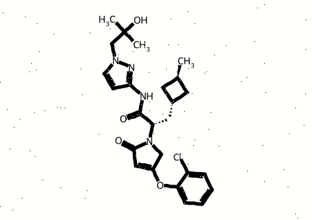 CC(C)(O)Cn1ccc(NC(=O)[C@H](C[C@H]2C[C@H](C)C2)N2CC(Oc3ccccc3Cl)=CC2=O)n1